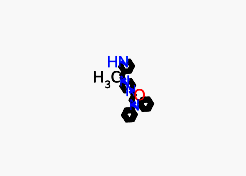 CC(C1CCCNC1)N1CCN(C(=O)CN(c2ccccc2)c2ccccc2)CC1